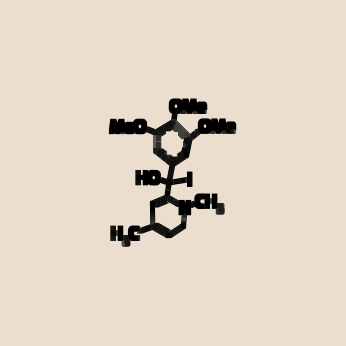 COc1cc(C(O)(I)C2=CC(C)=CCN2C)cc(OC)c1OC